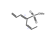 C=C/C=C(\C=C/C)S(=O)(=O)OC